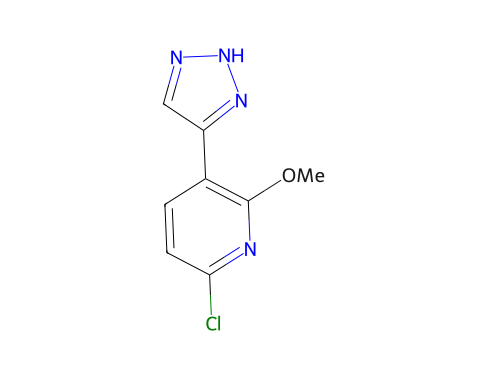 COc1nc(Cl)ccc1-c1cn[nH]n1